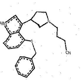 N#CCCCN1CCC(c2c[nH]c3cccc(OCc4ccccc4)c23)C1